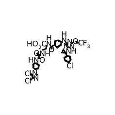 O=C(NCC[C@H](NC(=O)c1ccc(Nc2nc(NC3(c4ccc(Cl)cc4)CC3)nc(OCC(F)(F)F)n2)cc1)C(=O)O)C(=O)Nc1ccc(-n2cnc(Cl)c2Cl)cc1